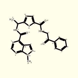 CC(NC(=O)c1ncnc2c1cnn2C)c1ncc(C(=O)NCC(=O)c2ccccc2)s1